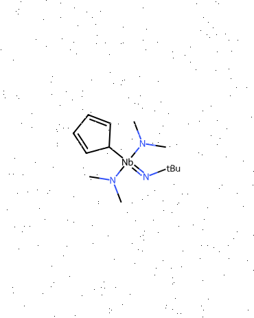 C[N](C)[Nb](=[N]C(C)(C)C)([CH]1C=CC=C1)[N](C)C